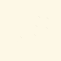 CC(=O)NCCNc1nc2nonc2nc1O